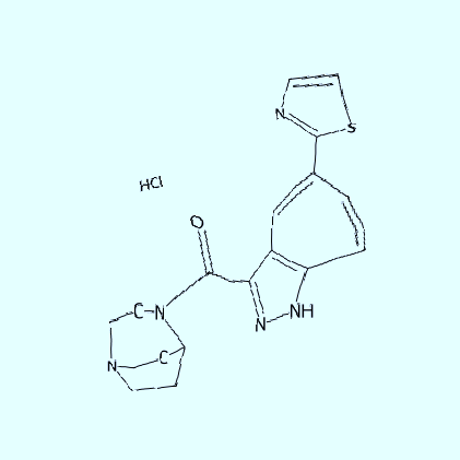 Cl.O=C(c1n[nH]c2ccc(-c3nccs3)cc12)N1CCN2CCC1CC2